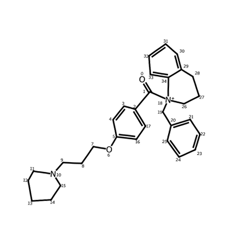 O=C(c1ccc(OCCCN2CCCCC2)cc1)[N+]1(Cc2ccccc2)CCCc2ccccc21